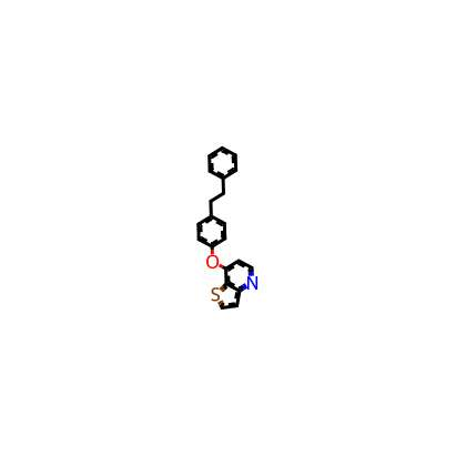 c1ccc(CCc2ccc(Oc3ccnc4ccsc34)cc2)cc1